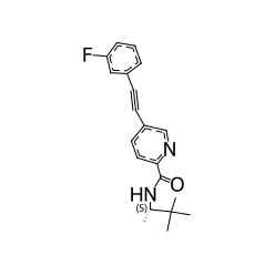 C[C@H](NC(=O)c1ccc(C#Cc2cccc(F)c2)cn1)C(C)(C)C